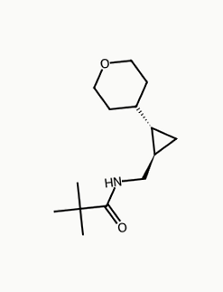 CC(C)(C)C(=O)NC[C@@H]1C[C@H]1C1CCOCC1